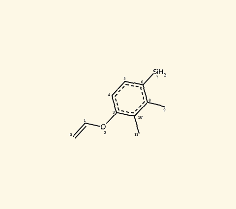 C=COc1ccc([SiH3])c(C)c1C